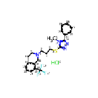 Cl.Cn1c(SCCCN2CCc3cccc(C(F)(F)F)c3C2)nnc1-c1ccccc1